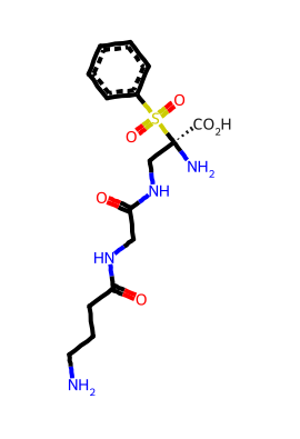 NCCCC(=O)NCC(=O)NC[C@@](N)(C(=O)O)S(=O)(=O)c1ccccc1